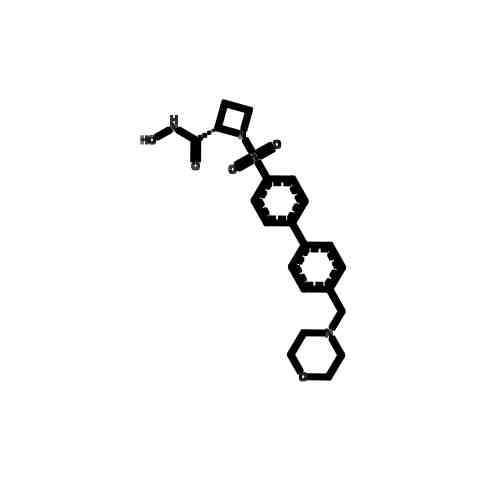 O=C(NO)[C@@H]1CCN1S(=O)(=O)c1ccc(-c2ccc(CN3CCOCC3)cc2)cc1